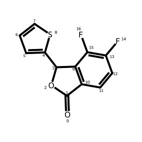 O=C1OC(c2cccs2)c2c1ccc(F)c2F